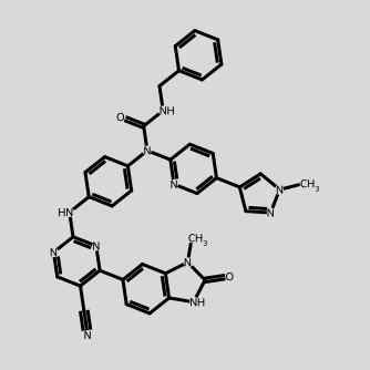 Cn1cc(-c2ccc(N(C(=O)NCc3ccccc3)c3ccc(Nc4ncc(C#N)c(-c5ccc6[nH]c(=O)n(C)c6c5)n4)cc3)nc2)cn1